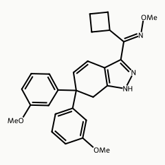 CO/N=C(/c1n[nH]c2c1C=CC(c1cccc(OC)c1)(c1cccc(OC)c1)C2)C1CCC1